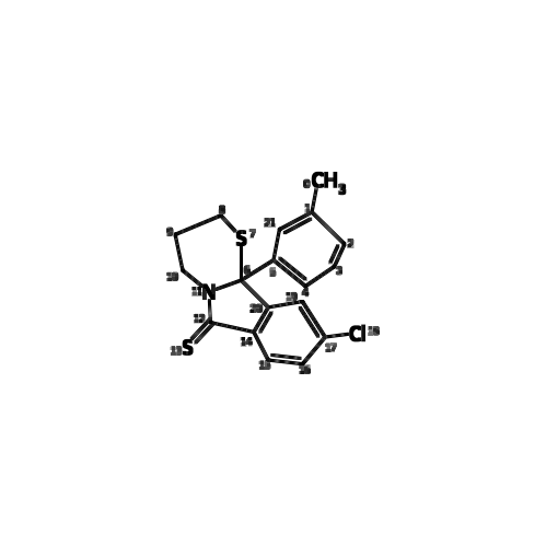 Cc1cccc(C23SCCCN2C(=S)c2ccc(Cl)cc23)c1